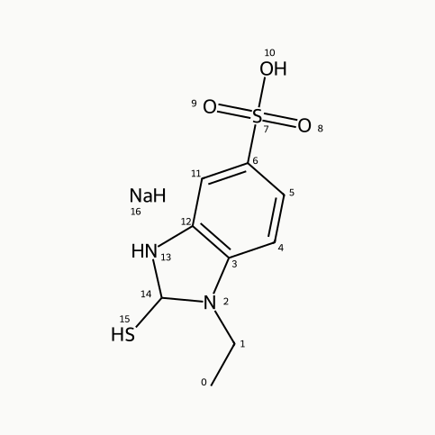 CCN1c2ccc(S(=O)(=O)O)cc2NC1S.[NaH]